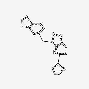 c1csc(-c2ccc3nnc(Cc4ccc5sccc5c4)n3n2)c1